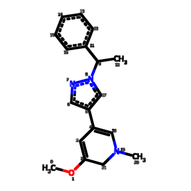 COC1=CC(c2cnn(C(C)c3ccccc3)c2)=CN(C)C1